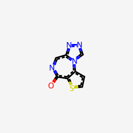 O=c1ncc2nncn2c2ccsc12